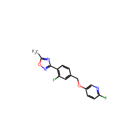 Fc1ccc(OCc2ccc(-c3noc(C(F)(F)F)n3)c(F)c2)cn1